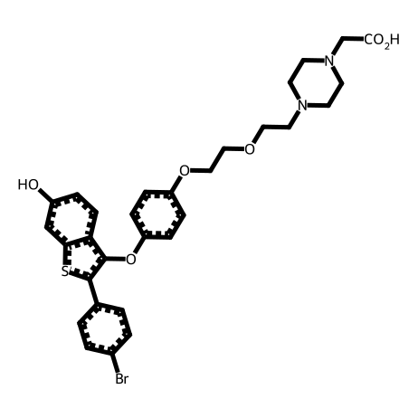 O=C(O)CN1CCN(CCOCCOc2ccc(Oc3c(-c4ccc(Br)cc4)sc4cc(O)ccc34)cc2)CC1